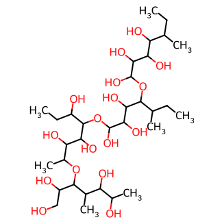 CCC(C)C(O)C(O)C(O)C(O)OC(C(C)CC)C(O)C(O)C(O)OC(C(O)CC)C(O)C(O)C(C)OC(C(O)CO)C(C)C(O)C(C)O